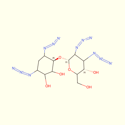 [N-]=[N+]=NC1CC(N=[N+]=[N-])[C@@H](O[C@H]2OC(CO)[C@@H](O)C(N=[N+]=[N-])C2N=[N+]=[N-])C(O)C1O